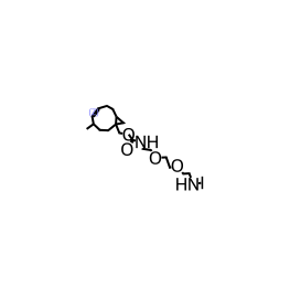 CC1/C=C\CCC2CC2(COC(=O)NCCOCCOCCNI)CC1